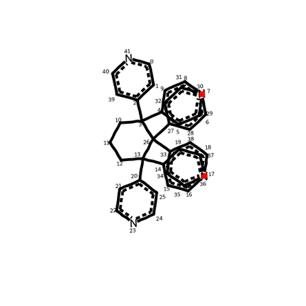 c1cc(C2(c3ccncc3)CCCC(c3ccncc3)(c3ccncc3)C2(c2ccncc2)c2ccncc2)ccn1